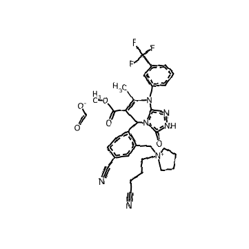 COC(=O)C1=C(C)N(c2cccc(C(F)(F)F)c2)c2n[nH]c(=O)n2C1c1ccc(C#N)cc1C[N+]1(CCCC#N)CCCC1.O=C[O-]